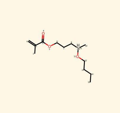 C=C(C)C(=O)OCCC[SiH](C)OCCCC